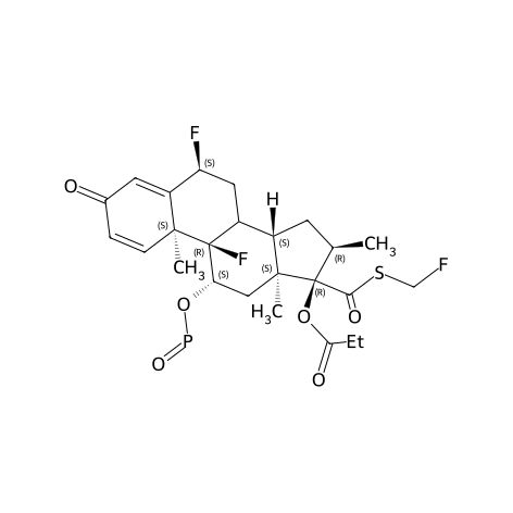 CCC(=O)O[C@]1(C(=O)SCF)[C@H](C)C[C@H]2C3C[C@H](F)C4=CC(=O)C=C[C@]4(C)[C@@]3(F)[C@@H](OP=O)C[C@@]21C